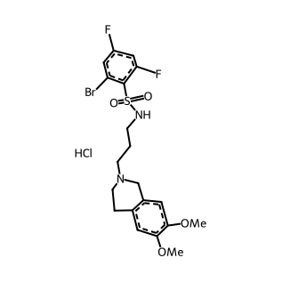 COc1cc2c(cc1OC)CN(CCCNS(=O)(=O)c1c(F)cc(F)cc1Br)CC2.Cl